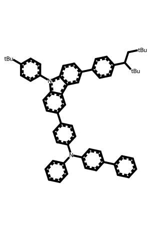 CC(C)(C)CC(c1ccc(-c2ccc3c(c2)c2cc(-c4ccc(N(c5ccccc5)c5ccc(-c6ccccc6)cc5)cc4)ccc2n3-c2ccc(C(C)(C)C)cc2)cc1)C(C)(C)C